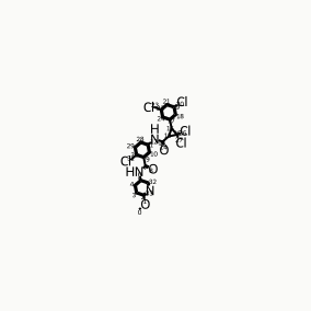 COc1ccc(NC(=O)c2cc(NC(=O)C3C(c4cc(Cl)cc(Cl)c4)C3(Cl)Cl)ccc2Cl)cn1